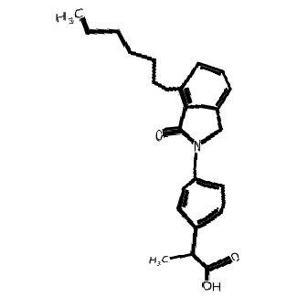 CCCCCCc1cccc2c1C(=O)N(c1ccc(C(C)C(=O)O)cc1)C2